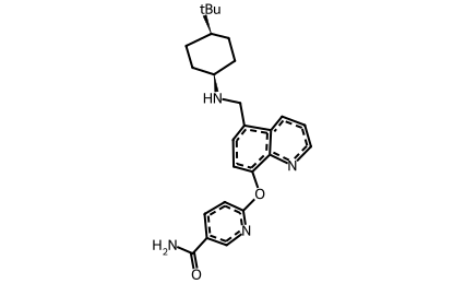 CC(C)(C)[C@H]1CC[C@@H](NCc2ccc(Oc3ccc(C(N)=O)cn3)c3ncccc23)CC1